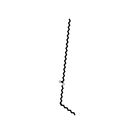 CCCCCCCC/C=C\CCCCCCCCOC(=O)CCCCCCCCCCCCCCCCCCCCCCCCCCCCCC